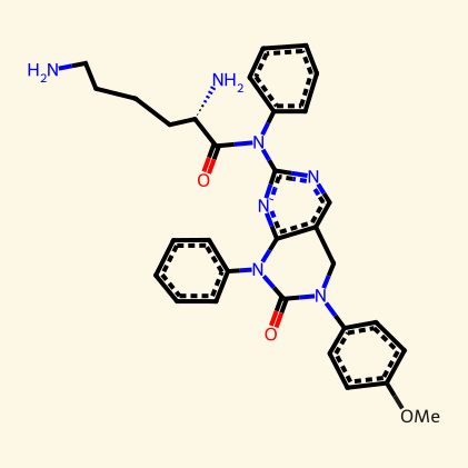 COc1ccc(N2Cc3cnc(N(C(=O)[C@@H](N)CCCCN)c4ccccc4)nc3N(c3ccccc3)C2=O)cc1